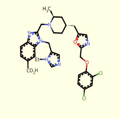 CCn1cncc1Cn1c(CN2CC[C@@H](Cc3cnc(COc4ccc(Cl)cc4Cl)o3)C[C@@H]2C)nc2ccc(C(=O)O)cc21